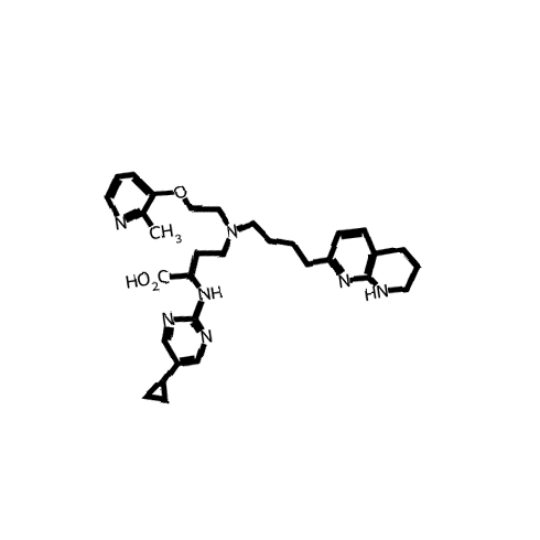 Cc1ncccc1OCCN(CCCCc1ccc2c(n1)NCCC2)CCC(Nc1ncc(C2CC2)cn1)C(=O)O